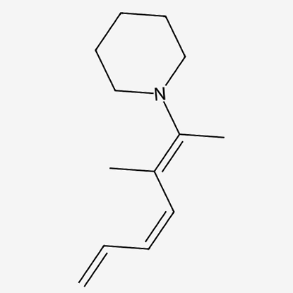 C=C/C=C\C(C)=C(/C)N1CCCCC1